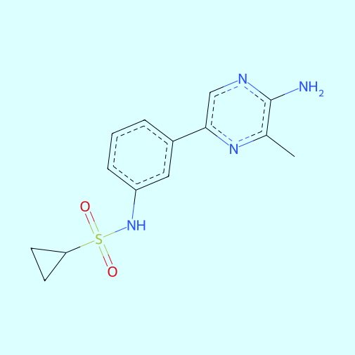 Cc1nc(-c2cccc(NS(=O)(=O)C3CC3)c2)cnc1N